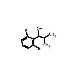 CC(C)C(O)c1c(Br)cccc1Br